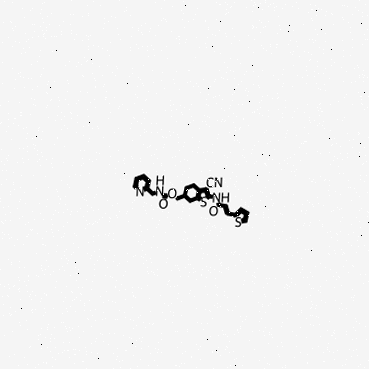 N#Cc1c(NC(=O)C=Cc2cccs2)sc2c1CCC(COC(=O)NCc1ccccn1)C2